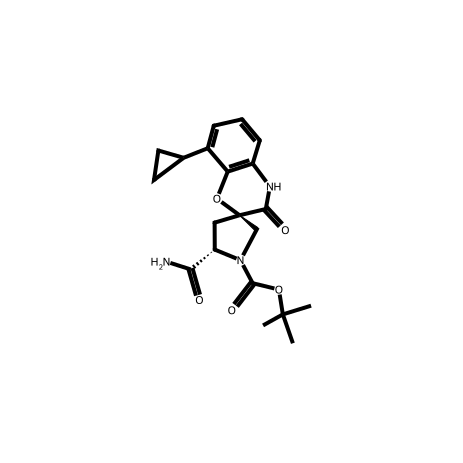 CC(C)(C)OC(=O)N1C[C@@]2(C[C@H]1C(N)=O)Oc1c(cccc1C1CC1)NC2=O